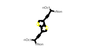 CCCCCCCCCC(C#Cc1csc2c(C#CC(CCCCCCCC)CCCCCCCCC)csc12)CCCCCCCC